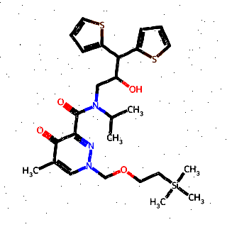 Cc1cn(COCC[Si](C)(C)C)nc(C(=O)N(CC(O)C(c2cccs2)c2cccs2)C(C)C)c1=O